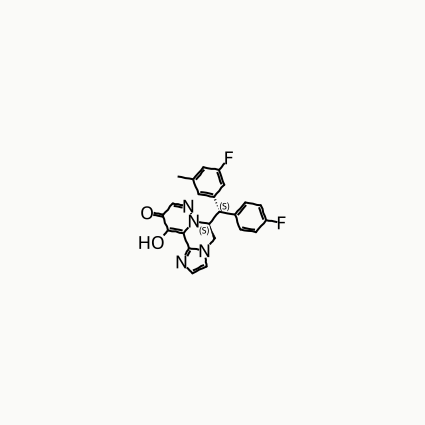 Cc1cc(F)cc([C@H](c2ccc(F)cc2)[C@H]2Cn3ccnc3-c3c(O)c(=O)cnn32)c1